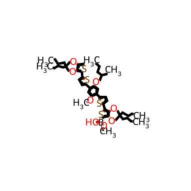 CCCCC(CC)COc1cc(-c2ccc(-c3sc(B(O)OC)c4c3OCC(CCCC)(CCCC)CO4)s2)c(OC)cc1-c1ccc(-c2scc3c2OCC(CCCC)(CCCC)CO3)s1